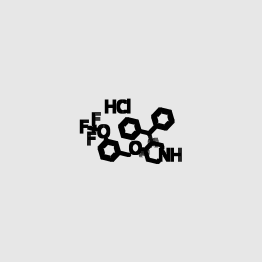 Cl.FC(F)(F)Oc1cccc(CO[C@@H]2CCNC[C@@H]2C(c2ccccc2)c2ccccc2)c1